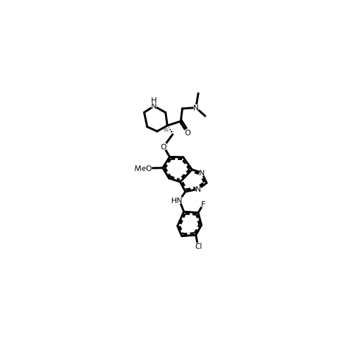 COc1cc2c(Nc3ccc(Cl)cc3F)ncnc2cc1OC[C@]1(C(=O)CN(C)C)CCCNC1